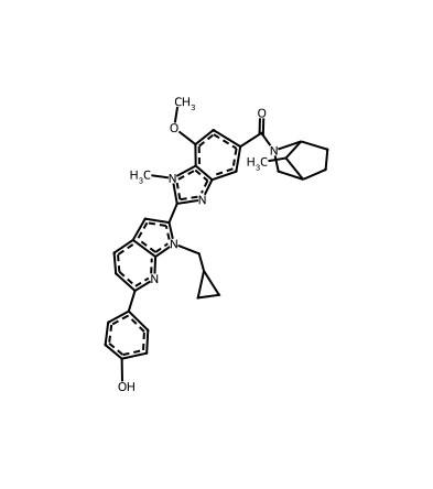 COc1cc(C(=O)N2CC3CCC2C3C)cc2nc(-c3cc4ccc(-c5ccc(O)cc5)nc4n3CC3CC3)n(C)c12